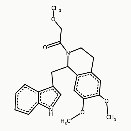 COCC(=O)N1CCc2cc(OC)c(OC)cc2C1Cc1c[nH]c2ccccc12